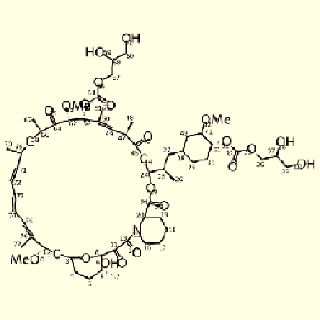 CO[C@H]1CC2CC[C@@H](C)[C@@](O)(O2)C(=O)C(=O)N2CCCCC2C(=O)O[C@H]([C@H](C)C[C@@H]2CC[C@@H](OC(=O)OCC(O)CO)[C@H](OC)C2)CC(=O)[C@H](C)/C=C(\C)[C@@H](OC(=O)OCC(O)CO)[C@@H](OC)C(=O)[C@H](C)C[C@H](C)/C=C/C=C/C=C/1C